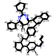 C=C/C=C\C1CCC(C2C=CC=CC2C(CC)Cc2ccc(-c3cc4ccccc4cc3C3=NC(c4ccccc4)=NC(c4ccccc4)=C(CC)C3)cc2)C(C)[C@@H]1C